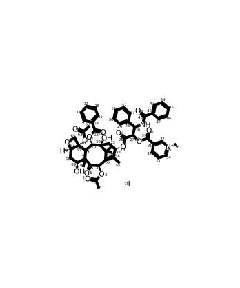 CC(=O)O[C@H]1C(=O)C2(C)C([C@H](OC(=O)c3ccccc3)[C@]3(O)C[C@H](OC(=O)C(OC(=O)c4ccc[n+](C)c4)C(NC(=O)c4ccccc4)c4ccccc4)C(C)=C1C3(C)C)[C@]1(OC(C)=O)CO[C@@H]1C[C@@H]2O.[I-]